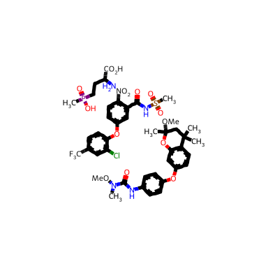 CON(C)C(=O)Nc1ccc(Oc2ccc3c(c2)OC(C)(OC)CC3(C)C)cc1.CP(=O)(O)CCC(N)C(=O)O.CS(=O)(=O)NC(=O)c1cc(Oc2ccc(C(F)(F)F)cc2Cl)ccc1[N+](=O)[O-]